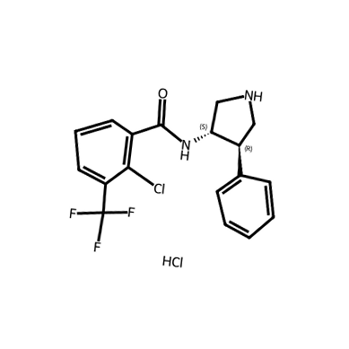 Cl.O=C(N[C@@H]1CNC[C@H]1c1ccccc1)c1cccc(C(F)(F)F)c1Cl